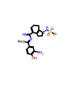 CCS(=O)(=O)N[C@H]1CCC2=C1CCC=C2C(=N)/N=C(\OC)c1ccc(O)c(N)c1